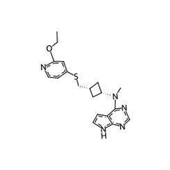 CCOc1cc(SC[C@H]2C[C@@H](N(C)c3ncnc4[nH]ccc34)C2)ccn1